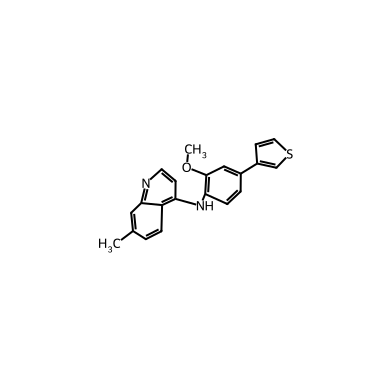 COc1cc(-c2ccsc2)ccc1Nc1ccnc2cc(C)ccc12